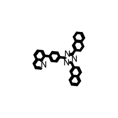 C1=CC2=C(C=C(c3nc(-c4ccc(-c5cccc6cccnc56)cc4)nc(-c4ccc5ccccc5c4)n3)CC2)CC1